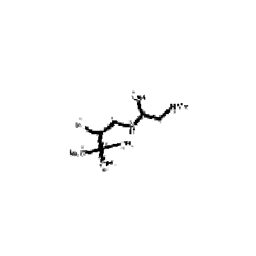 CNCC(O)NCC(C(C)C)C(C)(C)OC